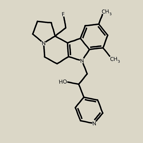 Cc1cc(C)c2c(c1)c1c(n2CC(O)c2ccncc2)CCN2CCCC12CF